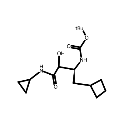 CC(C)(C)OC(=O)N[C@@H](CC1CCC1)C(O)C(=O)NC1CC1